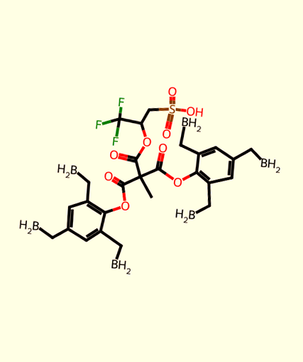 BCc1cc(CB)c(OC(=O)C(C)(C(=O)Oc2c(CB)cc(CB)cc2CB)C(=O)OC(CS(=O)(=O)O)C(F)(F)F)c(CB)c1